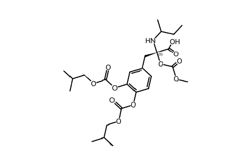 CCC(C)N[C@@](Cc1ccc(OC(=O)OCC(C)C)c(OC(=O)OCC(C)C)c1)(OC(=O)OC)C(=O)O